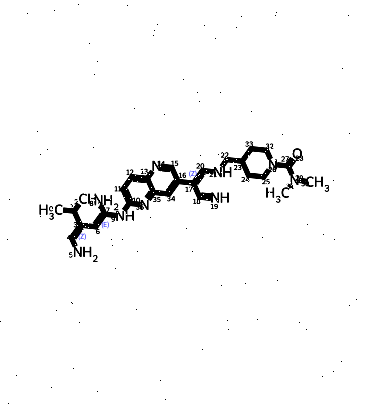 CC(C)C(=C/N)/C=C(\N)Nc1ccc2ncc(/C(C=N)=C/NCC3CCN(C(=O)N(C)C)CC3)cc2n1